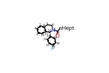 CCCCCCCC(=O)N1CCc2ccccc2[C@@H]1c1ccc(F)cc1